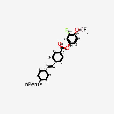 CCCCC[C@H]1CC[C@H](C=C[C@H]2CC[C@H](C(=O)Oc3ccc(OC(F)(F)F)c(F)c3)CC2)CC1